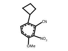 COc1ccc(C2CCC2)c(C#N)c1[N+](=O)[O-]